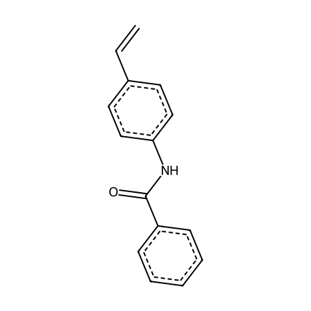 C=Cc1ccc(NC(=O)c2ccccc2)cc1